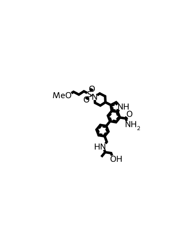 COCCCS(=O)(=O)N1CCC(c2c[nH]c3c(C(N)=O)cc(-c4cccc(CNC(C)CO)c4)cc23)CC1